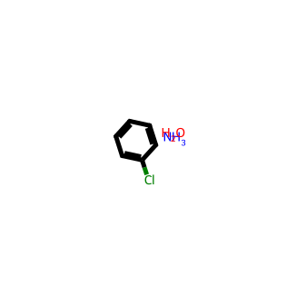 Clc1ccccc1.N.O